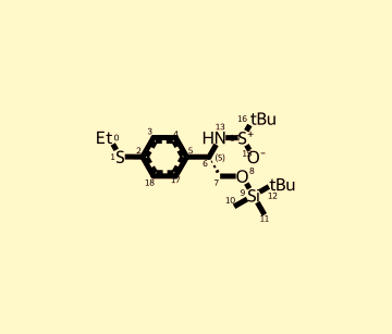 CCSc1ccc([C@@H](CO[Si](C)(C)C(C)(C)C)N[S+]([O-])C(C)(C)C)cc1